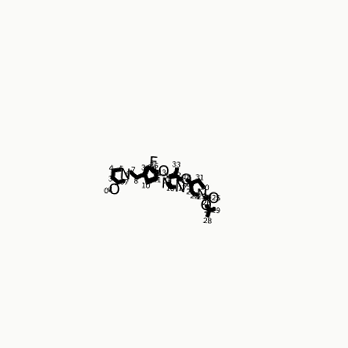 CO[C@H]1CCCN(CCc2ccc(Oc3ncnc(OC4CCN(C(=O)OC(C)C)CC4)c3C)c(F)c2)C1